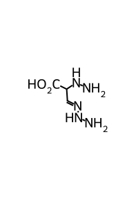 NNN=CC(NN)C(=O)O